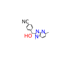 Cc1ccc2c(n1)nc(C(O)c1ccc(C#N)cc1)n2C